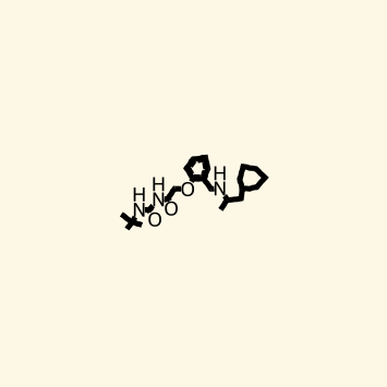 CC(CC1CCCCC1)NCc1ccccc1OCC(=O)NC(=O)NC(C)(C)C